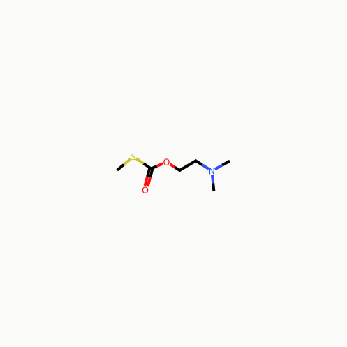 CSC(=O)OCCN(C)C